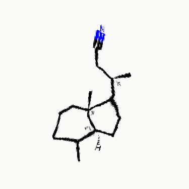 CC1CCC[C@]2(C)C([C@H](C)CC#N)CC[C@@H]12